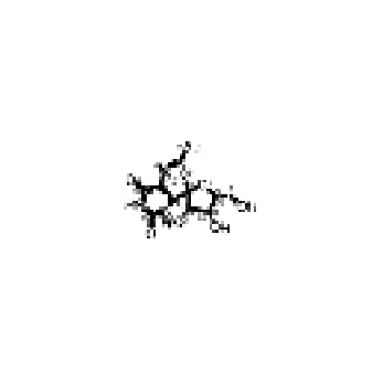 CC(=O)C=Nc1c(C2(N)O[C@H](CO)[C@@H](O)[C@H]2O)[nH]c(=O)[nH]c1=O